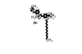 CCCCCCCCCCCCCCOc1cc(CCN(C(C)=O)c2cccc(C[n+]3csc(C)c3)c2)ccc1C(C)(C)C.[Br-]